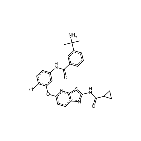 CC(C)(N)c1cccc(C(=O)Nc2ccc(Cl)c(Oc3ccc4nc(NC(=O)C5CC5)sc4n3)c2)c1